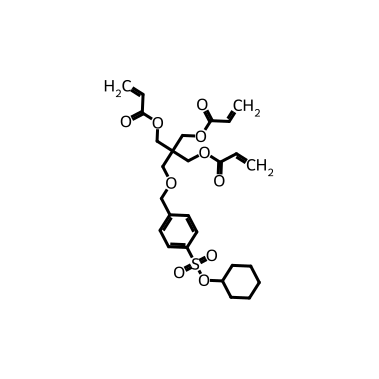 C=CC(=O)OCC(COCc1ccc(S(=O)(=O)OC2CCCCC2)cc1)(COC(=O)C=C)COC(=O)C=C